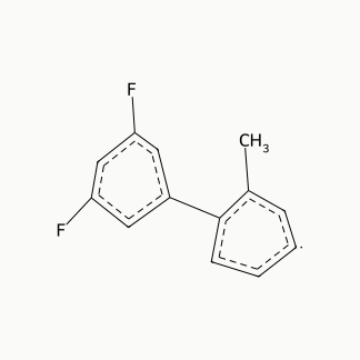 Cc1c[c]ccc1-c1cc(F)cc(F)c1